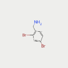 NCc1[c]cc(Br)cc1Br